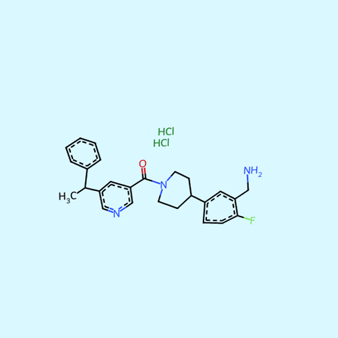 CC(c1ccccc1)c1cncc(C(=O)N2CCC(c3ccc(F)c(CN)c3)CC2)c1.Cl.Cl